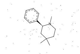 CN1CCC(C)(C)C[C@H]1c1ccccc1